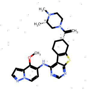 C=C([C@H]1CCc2c(sc3ncnc(Nc4ccn5nccc5c4OC)c23)C1)N1CCN(C)[C@@H](C)C1